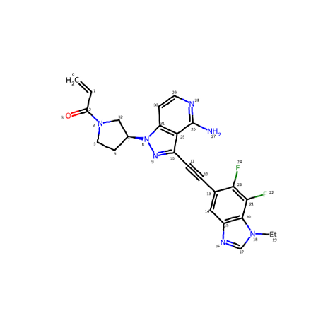 C=CC(=O)N1CC[C@H](n2nc(C#Cc3cc4ncn(CC)c4c(F)c3F)c3c(N)nccc32)C1